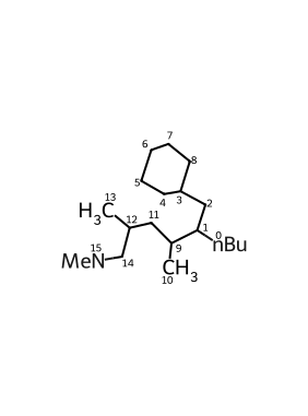 CCCCC(CC1CCCCC1)C(C)CC(C)CNC